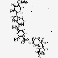 CCc1cc(Nc2nccn3c(-c4ccc(OC)c(F)c4F)cnc23)ccc1C(=O)NCC1CC[N+](C)(CC2CC[N+](C)(C)C2)CC1